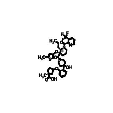 CCC[C@H]1N(C(=O)c2ncccc2C(F)(F)F)CCC[C@@]1(Oc1csc(C)c1)C(=O)N1CCC(O)(c2ccccc2O[C@@H]2CC[C@](C)(C(=O)O)C2)CC1